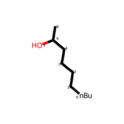 CCCCC[CH]CCC(C)O